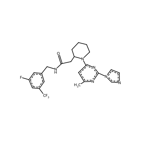 Cc1cc(N2CCCCC2CC(=O)NCc2cc(F)cc(C(F)(F)F)c2)nc(-n2ccnc2)n1